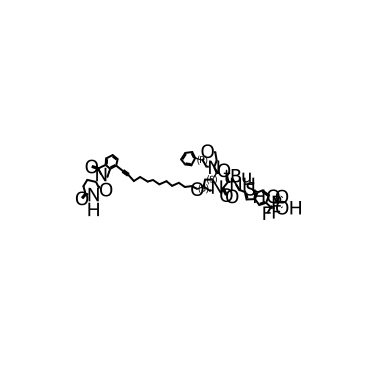 CC(C)(C)C(NC(=O)c1cc2cc(C(F)(F)P(=O)(O)O)ccc2s1)C(=O)N1C[C@@H](OCCCCCCCCCCC#Cc2cccc3c2CN(C2CCC(=O)NC2=O)C3=O)C[C@H]1C(=O)N1CCO[C@H](c2ccccc2)C1